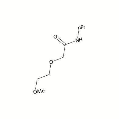 CCCNC(=O)COCCOC